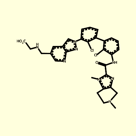 CN1CCc2c(nc(C(=O)Nc3cccc(-c4cccc(-n5cc6cc(CNCC(=O)O)cnc6n5)c4Cl)c3Cl)n2C)C1